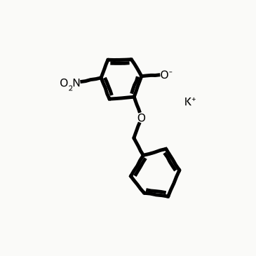 O=[N+]([O-])c1ccc([O-])c(OCc2ccccc2)c1.[K+]